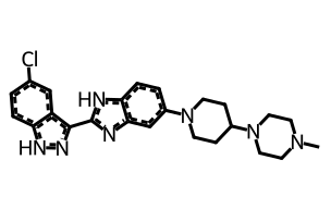 CN1CCN(C2CCN(c3ccc4[nH]c(-c5n[nH]c6ccc(Cl)cc56)nc4c3)CC2)CC1